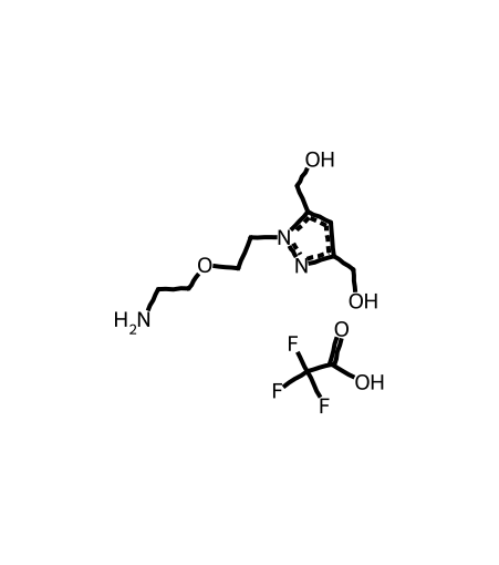 NCCOCCn1nc(CO)cc1CO.O=C(O)C(F)(F)F